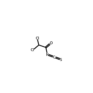 O=C(N=C=S)C(Cl)Cl